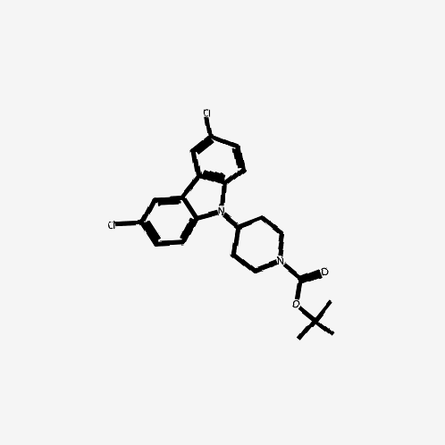 CC(C)(C)OC(=O)N1CCC(n2c3ccc(Cl)cc3c3cc(Cl)ccc32)CC1